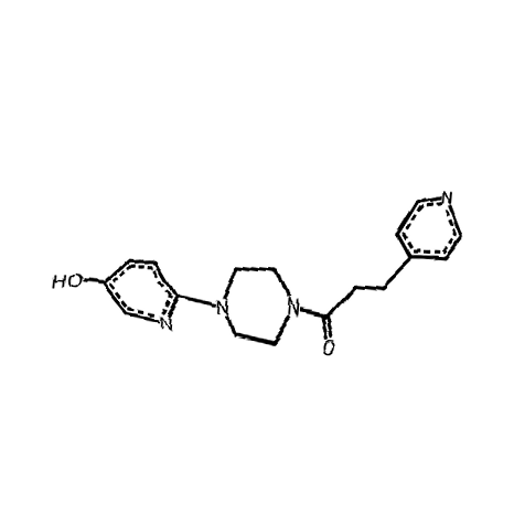 O=C(CCc1ccncc1)N1CCN(c2ccc(O)cn2)CC1